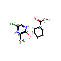 COC(=O)[C@H]1CCC[C@H](Oc2ncc(Br)nc2C)C1